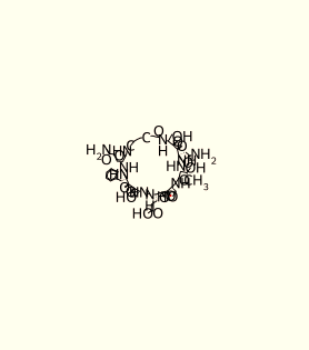 C[C@@H](O)[C@@H]1NN[C@@H](CC(N)=O)C(=O)C(=O)C(CO)NC(=O)CCCCCNC(=O)C(CCC(N)=O)NN[C@@H](Cc2ccccc2)C(=O)C(=O)[C@H](CO)NN[C@@H](CCC(=O)O)C(=O)C(=O)[C@H](CO)NC1=O